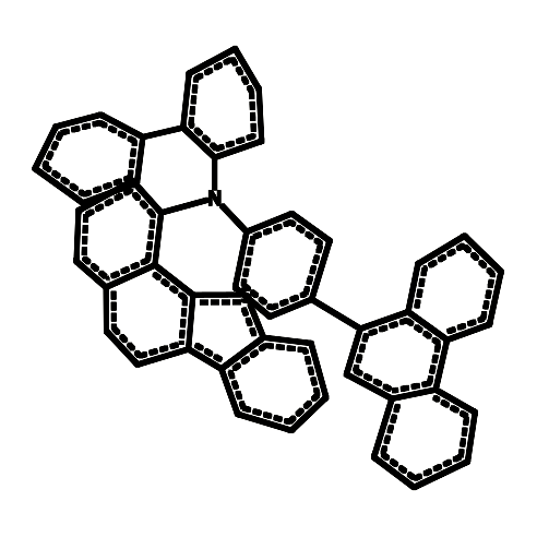 c1ccc(-c2ccccc2N(c2ccc(-c3cc4ccccc4c4ccccc34)cc2)c2cccc3ccc4c5ccccc5sc4c23)cc1